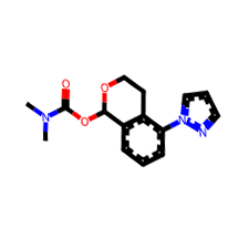 CN(C)C(=O)OC1OCCc2c1cccc2-n1cccn1